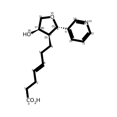 O=C(O)CCC=CCC[C@@H]1[C@@H](c2cccnc2)OC[C@@H]1O